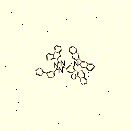 c1ccc(-c2cccc(-c3nc(-c4cc(-n5c6cc7ccccc7cc6c6cc7ccccc7cc65)c5c(c4)oc4c6ccccc6ccc45)nc(-c4cc5ccccc5c5ccccc45)n3)c2)cc1